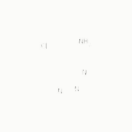 Nc1nnncc1Cl